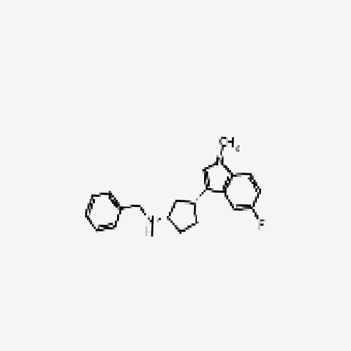 Cn1cc([C@@H]2CC[C@H](NCc3ccccc3)C2)c2cc(F)ccc21